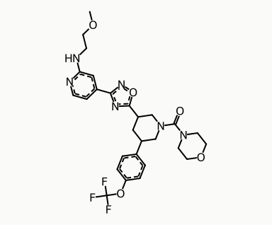 COCCNc1cc(-c2noc(C3CC(c4ccc(OC(F)(F)F)cc4)CN(C(=O)N4CCOCC4)C3)n2)ccn1